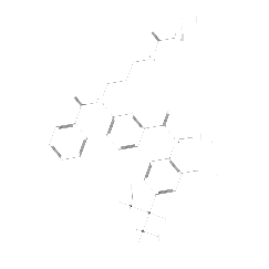 CNC(=O)NCCCN(C(=O)c1ccccc1)c1cccc(C(=O)N(C)c2ccc(C(F)(C(F)(F)F)C(F)(F)F)cc2C)c1